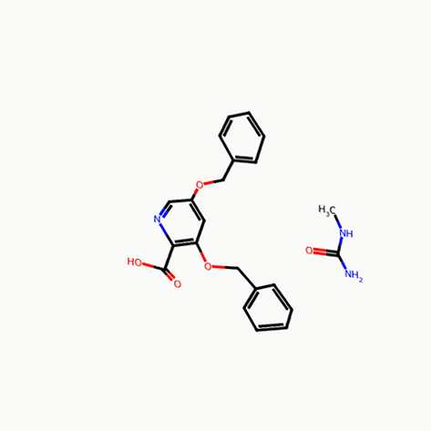 CNC(N)=O.O=C(O)c1ncc(OCc2ccccc2)cc1OCc1ccccc1